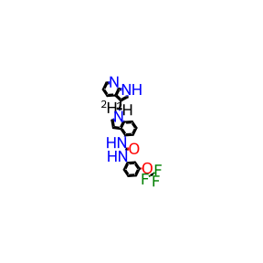 [2H]C([2H])(c1c[nH]c2ncccc12)n1ccc2c(NC(=O)Nc3cccc(OC(F)(F)F)c3)cccc21